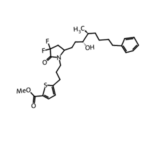 COC(=O)c1ccc(CCCN2C(=O)C(F)(F)CC2CC[C@@H](O)[C@@H](C)CCCCc2ccccc2)s1